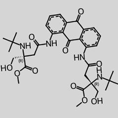 COC(=O)[C@](CO)(CC(=O)Nc1cccc2c1C(=O)c1c(NC(=O)C[C@](CO)(NC(C)(C)C)C(=O)OC)cccc1C2=O)NC(C)(C)C